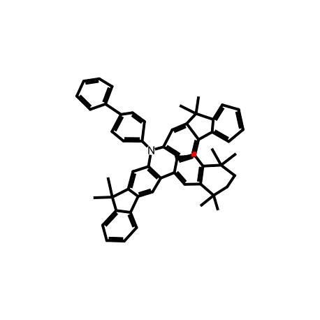 Cc1cc2c(cc1-c1cc3c(cc1N(c1ccc(-c4ccccc4)cc1)c1ccc4c(c1)C(C)(C)c1ccccc1-4)C(C)(C)c1ccccc1-3)C(C)(C)CCC2(C)C